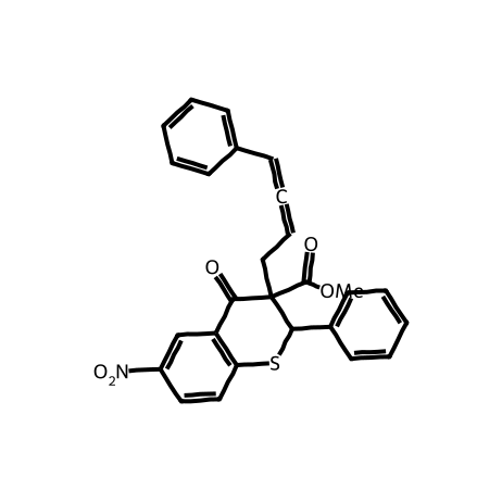 COC(=O)C1(CC=C=Cc2ccccc2)C(=O)c2cc([N+](=O)[O-])ccc2SC1c1ccccc1